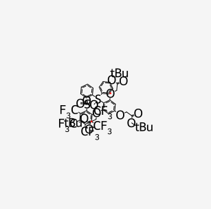 CC(C)(C)OC(=O)COc1cc(OCC(=O)OC(C)(C)C)c(S(OS(=O)(=O)c2c(C(F)(F)F)c(C(F)(F)F)c(C(F)(F)F)c(C(F)(F)F)c2C(F)(F)F)(c2ccccc2)c2ccccc2)c(OCC(=O)OC(C)(C)C)c1